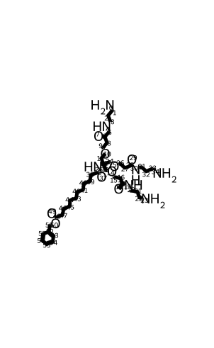 NCCCNCC(=O)CCOCC(COCCC(=O)NCCCN)(COCCC(=O)NCCCN)NC(=O)CCCCCCCCCCC(=O)OCc1ccccc1